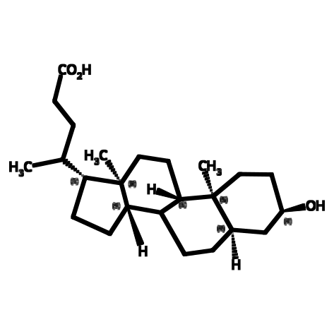 CC(CCC(=O)O)[C@H]1CC[C@H]2C3CC[C@@H]4C[C@H](O)CC[C@]4(C)[C@H]3CC[C@]12C